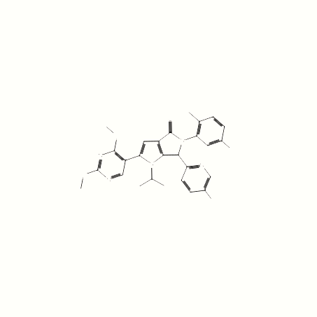 COc1ncc(-c2cc3c(n2C(C)C)C(c2ccc(Cl)cn2)N(c2cc(Cl)ccc2C)C3=O)c(OC)n1